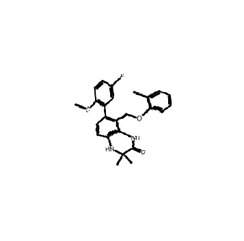 COc1ccc(F)cc1-c1ccc2c(c1COc1ccccc1C)NC(=O)C(C)(C)N2